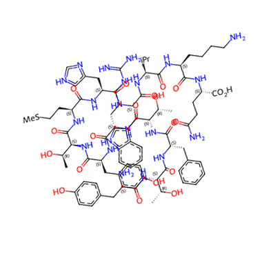 CSCC[C@H](NC(=O)[C@@H](NC(=O)[C@H](Cc1ccc(O)cc1)NC(=O)[C@H](CCCNC(=N)N)NC(=O)[C@@H](NC(=O)[C@H](Cc1ccccc1)NC(=O)[C@@H](NC(=O)[C@@H](N)Cc1ccc(O)cc1)[C@@H](C)O)[C@@H](C)O)[C@@H](C)O)C(=O)N[C@@H](Cc1c[nH]cn1)C(=O)N[C@@H](Cc1c[nH]c2ccccc12)C(=O)N[C@H](C(=O)N[C@@H](CCCCN)C(=O)N[C@@H](CCC(N)=O)C(=O)O)C(C)C